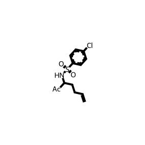 C=CCCC(NS(=O)(=O)c1ccc(Cl)cc1)C(C)=O